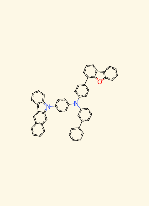 c1ccc(-c2cccc(N(c3ccc(-c4cccc5c4oc4ccccc45)cc3)c3ccc(-n4c5ccccc5c5cc6ccccc6cc54)cc3)c2)cc1